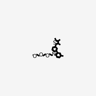 COCCOCCOCCn1c2ccc(C)cc2c2cc(-c3sc(C)c(C)c3C)ccc21